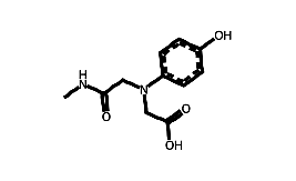 CNC(=O)CN(CC(=O)O)c1ccc(O)cc1